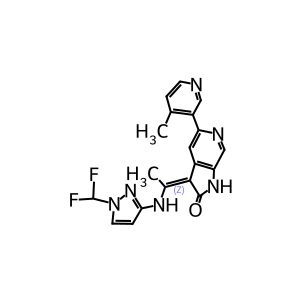 C/C(Nc1ccn(C(F)F)n1)=C1/C(=O)Nc2cnc(-c3cnccc3C)cc21